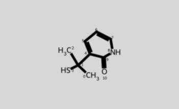 CC(C)(S)c1ccc[nH]c1=O